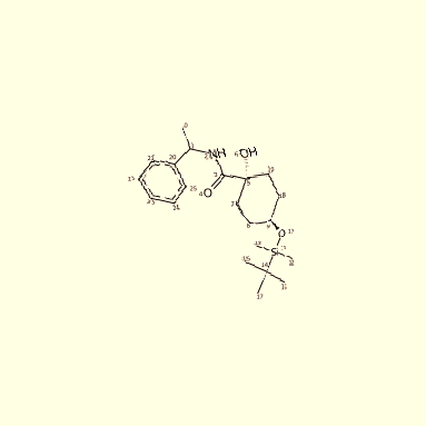 CC(NC(=O)[C@]1(O)CC[C@H](O[Si](C)(C)C(C)(C)C)CC1)c1ccccc1